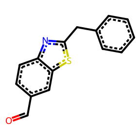 O=Cc1ccc2nc(Cc3ccccc3)sc2c1